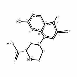 COC(=O)[C@@H]1CN(c2cc(=O)n(C)c3ccc(C#N)nc23)CCN1